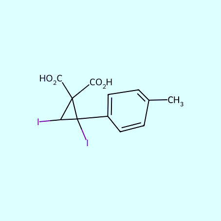 Cc1ccc(C2(I)C(I)C2(C(=O)O)C(=O)O)cc1